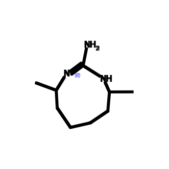 CC1CCCCC(C)N/C(N)=N\1